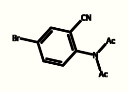 CC(=O)N(C(C)=O)c1ccc(Br)cc1C#N